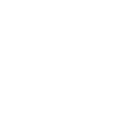 O=C(O)CCc1nc2ccccc2n1Cc1ccc([N+](=O)[O-])cc1